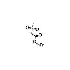 CCCOC(=O)CS(C)(=O)=O